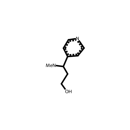 CNC(CCO)c1ccncc1